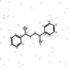 BrC(CCC(Br)c1ccccc1)c1ccccc1